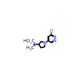 CN(C(=O)O)C1CCN(c2cnnc(Cl)c2)C1